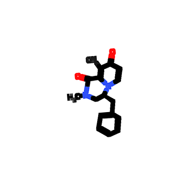 CN1C[C@H](Cc2ccccc2)n2ccc(=O)c(N=O)c2C1=O